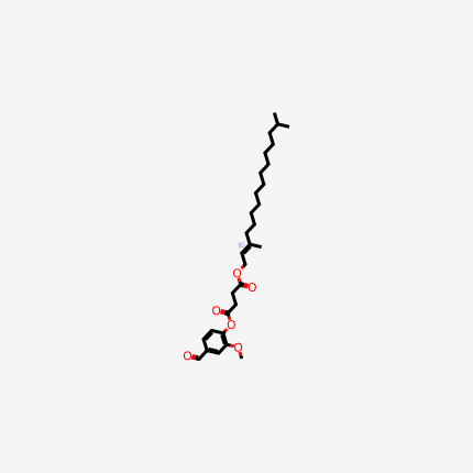 COc1cc(C=O)ccc1OC(=O)CCC(=O)OC/C=C(\C)CCCCCCCCCCCC(C)C